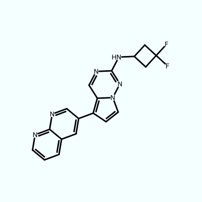 FC1(F)CC(Nc2ncc3c(-c4cnc5ncccc5c4)ccn3n2)C1